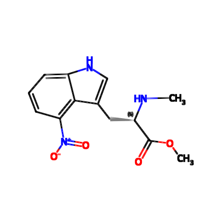 CN[C@@H](Cc1c[nH]c2cccc([N+](=O)[O-])c12)C(=O)OC